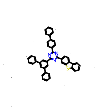 c1ccc(-c2ccc(-c3nc(-c4cc(-c5ccccc5)cc(-c5ccccc5)c4)nc(-c4ccc5c(c4)sc4ccccc45)n3)cc2)cc1